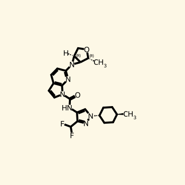 C[C@H]1OC[C@H]2C1N2c1ccc2ccn(C(=O)Nc3cn([C@H]4CC[C@H](C)CC4)nc3C(F)F)c2n1